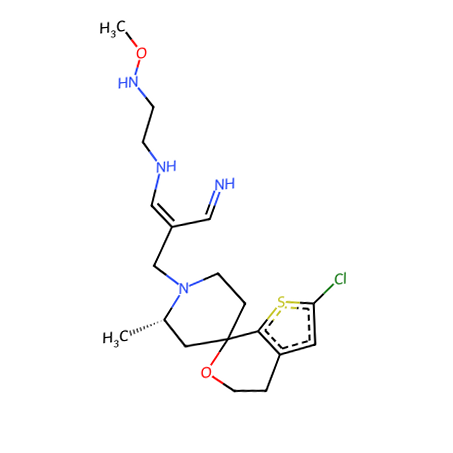 CONCCN/C=C(\C=N)CN1CCC2(C[C@@H]1C)OCCc1cc(Cl)sc12